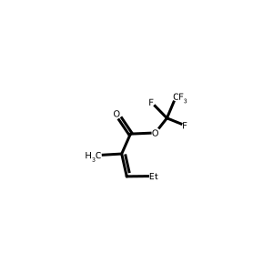 CCC=C(C)C(=O)OC(F)(F)C(F)(F)F